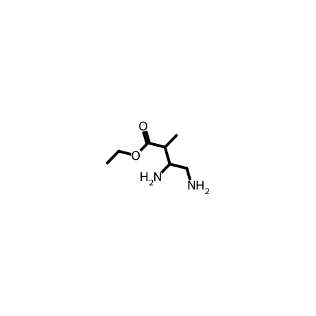 CCOC(=O)C(C)C(N)CN